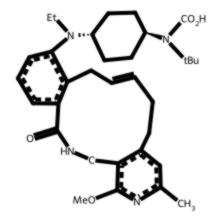 CCN(c1cccc2c1C/C=C/CCc1cc(C)nc(OC)c1CNC2=O)[C@H]1CC[C@H](N(C(=O)O)C(C)(C)C)CC1